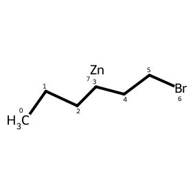 CCCCCCBr.[Zn]